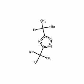 CCCCC(C)(CC)c1nc(C(C)(C)CCC)ns1